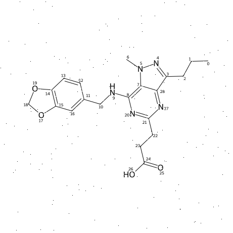 CCCc1nn(C)c2c(NCc3ccc4c(c3)OCO4)nc(CCC(=O)O)nc12